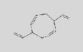 C=CC1/C=C\CC(C=C)/C=C\C1